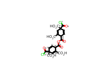 O=C(O)C1=CC(C(=O)O)(C(=O)Cl)C=CC1C(=O)OC(=O)C1C=CC(C(=O)O)(C(=O)Cl)C=C1C(=O)O